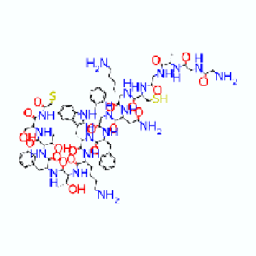 C[C@H](NC(=O)CNC(=O)CN)C(=O)NCC(=O)N[C@@H](CS)C(=O)N[C@@H](CCCCN)C(=O)N[C@@H](CC(N)=O)C(=O)N[C@@H](Cc1ccccc1)C(=O)N[C@@H](Cc1ccccc1)C(=O)N[C@@H](Cc1c[nH]c2ccccc12)C(=O)N[C@@H](CCCCN)C(=O)N[C@H](C(=O)N[C@@H](Cc1ccccc1)C(=O)N[C@H](C(=O)N[C@@H](CO)C(=O)NC(=O)C=S)[C@@H](C)O)[C@@H](C)O